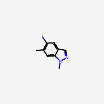 Cc1cc2c(cnn2C)cc1I